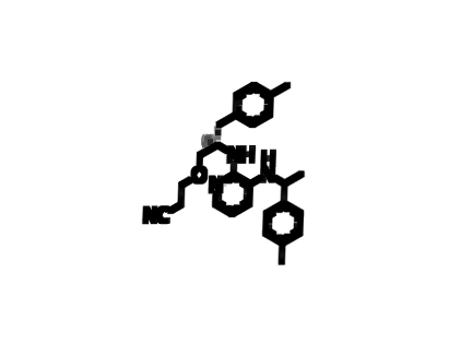 Cc1ccc(C[C@@H](COCCC#N)Nc2ncccc2NC(C)c2ccc(C)cc2)cc1